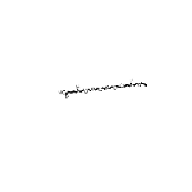 C#CCOCCNCCCOCCOCCOCCOCCOCCOCCNCCCCC(=O)O